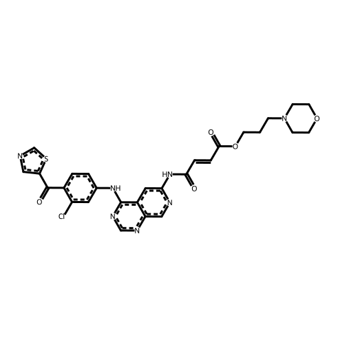 O=C(C=CC(=O)OCCCN1CCOCC1)Nc1cc2c(Nc3ccc(C(=O)c4cncs4)c(Cl)c3)ncnc2cn1